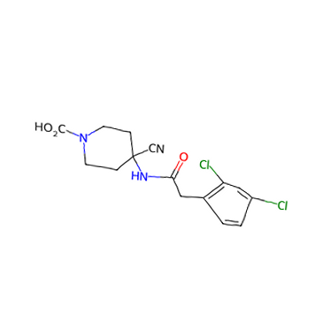 N#CC1(NC(=O)Cc2ccc(Cl)cc2Cl)CCN(C(=O)O)CC1